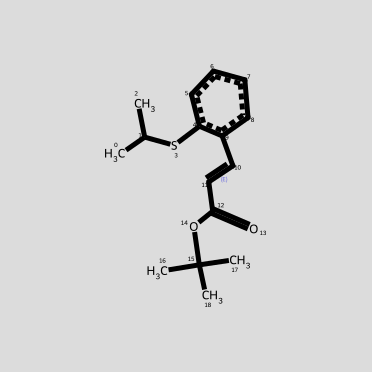 CC(C)Sc1ccccc1/C=C/C(=O)OC(C)(C)C